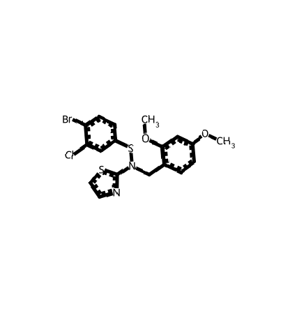 COc1ccc(CN(Sc2ccc(Br)c(Cl)c2)c2nccs2)c(OC)c1